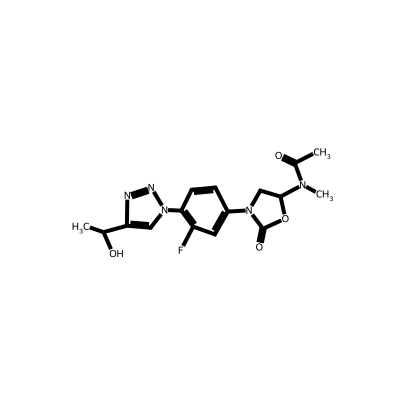 CC(=O)N(C)C1CN(c2ccc(-n3cc(C(C)O)nn3)c(F)c2)C(=O)O1